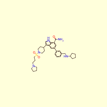 NC(=O)c1cc(-c2cccc(CNC3CCCC3)c2)cc2c(C3CCN(S(=O)(=O)CCCN4CCCC4)CC3)c[nH]c12